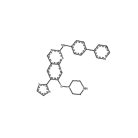 c1cncc(-c2ccc(Nc3ncc4cc(-c5nccs5)c(OC5CCNCC5)cc4n3)cc2)c1